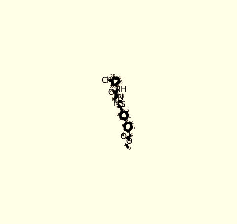 CCOC(=O)C[C@H]1CC[C@H](c2ccc(-c3cn4cc(C(=O)Nc5cccc(Cl)c5)nc4s3)cc2)CC1